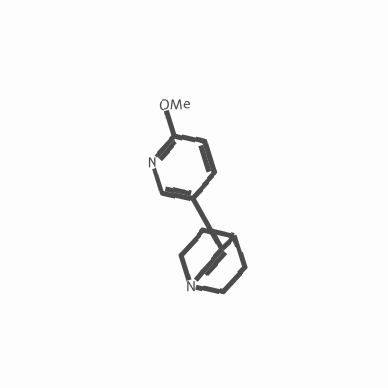 COc1ccc(C2=CN3CCC2CC3)cn1